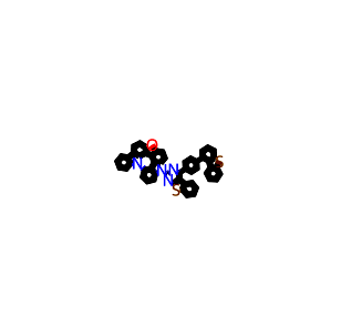 c1ccc2c(c1)sc1cccc(-c3ccc(-c4nc(-n5c6ccc7oc8ccc9c%10ccccc%10n%10c%11cccc5c%11c6c7c8c9%10)nc5sc6ccccc6c45)cc3)c12